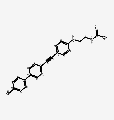 O=C(O)NCCNc1ccc(C#Cc2ccc(-c3ccc(Cl)cc3)cn2)cc1